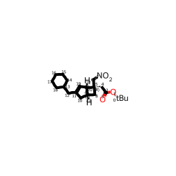 CC(C)(C)OC(=O)C[C@]1(C[N+](=O)[O-])C[C@@H]2CC(CC3CCCCC3)=C[C@@H]21